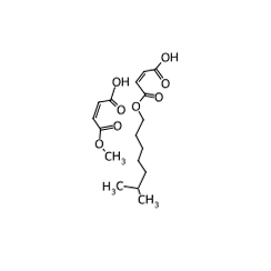 CC(C)CCCCCOC(=O)/C=C\C(=O)O.COC(=O)/C=C\C(=O)O